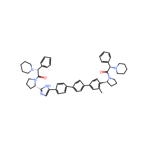 [CH2]c1cc(-c2ccc(-c3ccc(-c4cnc([C@@H]5CCCN5C(=O)[C@@H](c5ccccc5)N5CCCCC5)[nH]4)cc3)cc2)ccc1[C@@H]1CCCN1C(=O)[C@@H](c1ccccc1)N1CCCCC1